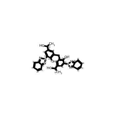 CC(O)c1cc(Cc2cc(C(C)O)cc(-n3nc4ccccc4n3)c2O)c(O)c(-n2nc3ccccc3n2)c1